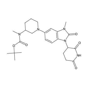 CN(C(=O)OC(C)(C)C)C1CCCN(c2ccc3c(c2)n(C)c(=O)n3C2CCC(=O)NC2=O)C1